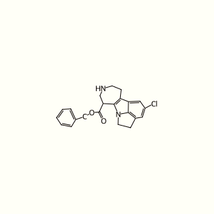 O=C(OCc1ccccc1)C1CNCCc2c1n1c3c(cc(Cl)cc23)CC1